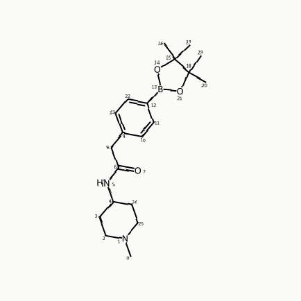 CN1CCC(NC(=O)Cc2ccc(B3OC(C)(C)C(C)(C)O3)cc2)CC1